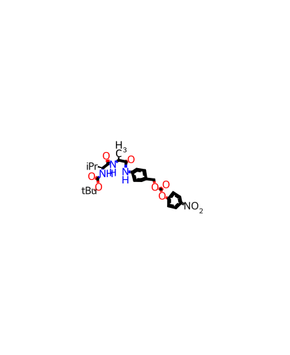 CC(C)[C@H](NC(=O)OC(C)(C)C)C(=O)N[C@@H](C)C(=O)Nc1ccc(COC(=O)Oc2ccc([N+](=O)[O-])cc2)cc1